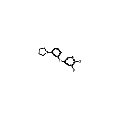 Fc1cc(Oc2cccc(N3CCCC3)c2)cnc1Cl